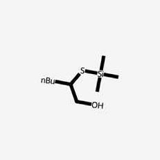 CCCCC(CO)S[Si](C)(C)C